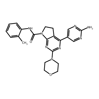 Cc1ccccc1NC(=O)N1CCc2c(-c3cnc(N)nc3)nc(N3CCOCC3)nc21